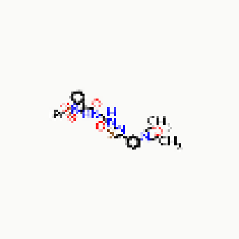 CC(C)S(=O)(=O)n1cc(C(=O)NCC(=O)Nc2nc(-c3cccc(N4C[C@@H](C)O[C@@H](C)C4)c3)cs2)c2ccccc21